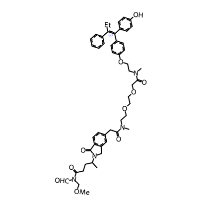 CC/C(=C(\c1ccc(O)cc1)c1ccc(OCCN(C)C(=O)COCCOCCN(C)C(=O)Cc2ccc3c(c2)CN(C(C)CCC(=O)N(C=O)COC)C3=O)cc1)c1ccccc1